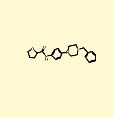 O=C(Nc1ccc(N2CCN(Cc3ccccc3)CC2)cc1)C1CCCO1